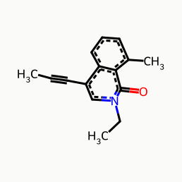 CC#Cc1cn(CC)c(=O)c2c(C)cccc12